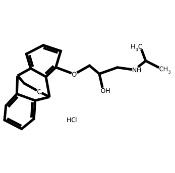 CC(C)NCC(O)COc1cccc2c1C1CCC2c2ccccc21.Cl